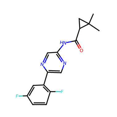 CC1(C)CC1C(=O)Nc1cnc(-c2cc(F)ccc2F)cn1